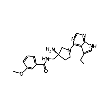 CCc1c[nH]c2ncnc(N3CC[C@](N)(CNC(=O)c4cccc(OC)c4)C3)c12